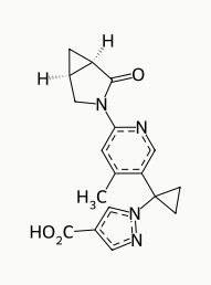 Cc1cc(N2C[C@H]3C[C@H]3C2=O)ncc1C1(n2cc(C(=O)O)cn2)CC1